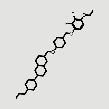 CCCC1CCC(C2CCC3CC(COC4CCC(COc5ccc(OCC)c(F)c5F)CC4)CCC3C2)CC1